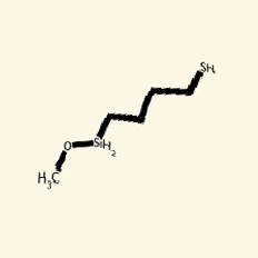 CO[SiH2]CCCCS